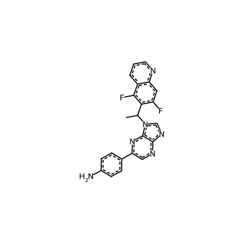 CC(c1c(F)cc2ncccc2c1F)n1cnc2ncc(-c3ccc(N)cc3)nc21